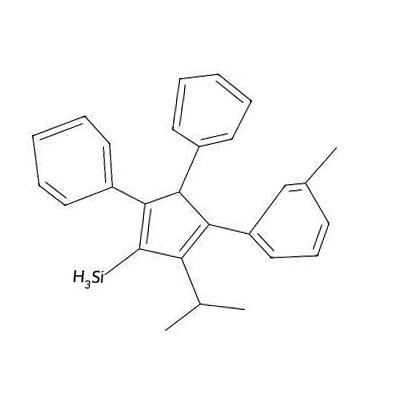 Cc1cccc(C2=C(C(C)C)C([SiH3])=C(c3ccccc3)C2c2ccccc2)c1